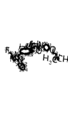 CN(C)CCOc1ccc(NC(=O)Nc2ccc(-c3nc(N4CC5CCC(C4)O5)c4cnn(CCF)c4n3)cc2)cc1